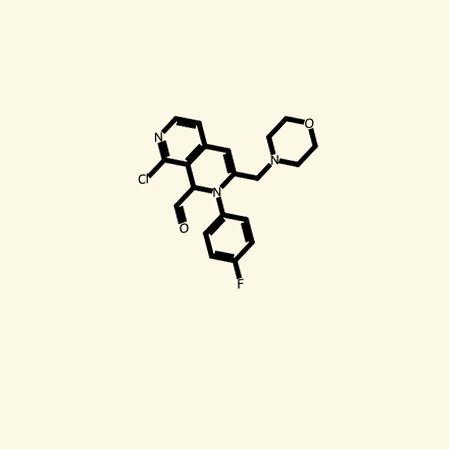 O=CC1c2c(ccnc2Cl)C=C(CN2CCOCC2)N1c1ccc(F)cc1